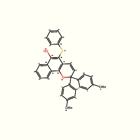 COc1ccc(C2(c3ccc(OC)cc3)C=Cc3c(Sc4ccccc4)c(O)c4ccccc4c3O2)cc1